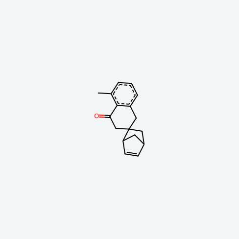 Cc1cccc2c1C(=O)CC1(C2)CC2C=CC1C2